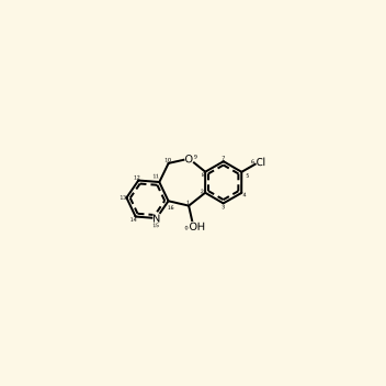 OC1c2ccc(Cl)cc2OCc2cccnc21